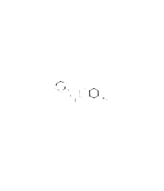 CC1CN(c2nccnn2)CCC1Oc1cc(C(F)(F)F)ccc1Cl